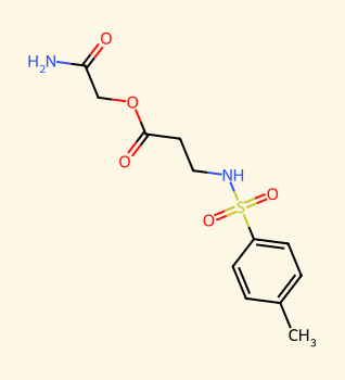 Cc1ccc(S(=O)(=O)NCCC(=O)OCC(N)=O)cc1